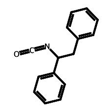 O=C=NC(Cc1ccccc1)c1ccccc1